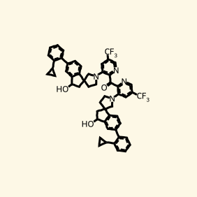 O=C(c1ncc(C(F)(F)F)cc1N1CCC2(CC(O)c3cc(-c4ccccc4C4CC4)ccc32)C1)c1ncc(C(F)(F)F)cc1N1CCC2(CC(O)c3cc(-c4ccccc4C4CC4)ccc32)C1